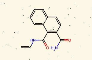 C=CNC(=O)c1c(C(N)=O)ccc2ccccc12